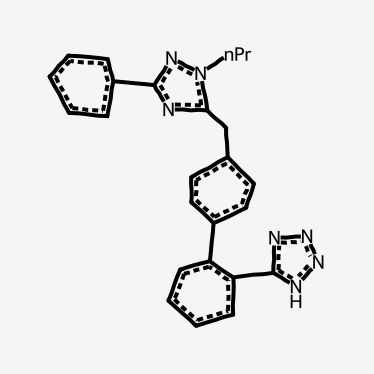 CCCn1nc(-c2ccccc2)nc1Cc1ccc(-c2ccccc2-c2nnn[nH]2)cc1